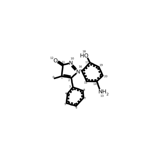 CC1=C(c2ccccc2)N=NC1=O.Nc1ccc(O)cc1